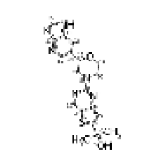 CC(C)(O)c1cc2nc(N3CCOC(c4cnc5nc[nH]c5c4)C3)ncc2s1